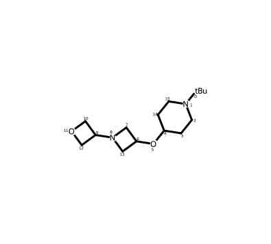 CC(C)(C)N1CCC(OC2CN(C3COC3)C2)CC1